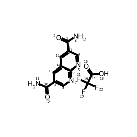 NC(=O)c1cnc2ncc(C(N)=O)cc2c1.O=C(O)C(F)(F)F